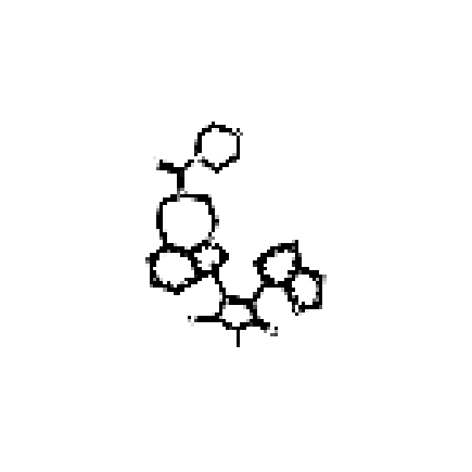 O=C1NC(=O)C(c2cccc3ccoc23)=C1c1cn2c3c(cccc13)CCN(C(=O)N1CCOCC1)CC2